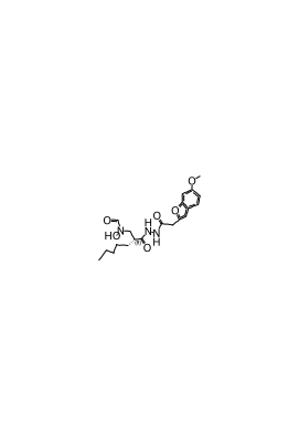 CCCCC[C@H](CN(O)C=O)C(=O)NNC(=O)Cc1cc2ccc(OC)cc2o1